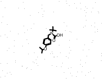 CC(C)Oc1ccc(CN(C(=O)O)C(C)(C)C)cc1